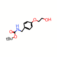 CC(C)(C)OC(=O)NCc1ccc(OCCO)cc1